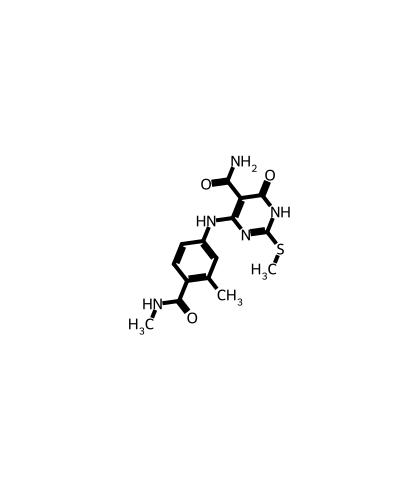 CNC(=O)c1ccc(Nc2nc(SC)[nH]c(=O)c2C(N)=O)cc1C